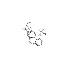 COC1(c2cccc(NS(C)(=O)=O)c2)C2CCC1CN(Cc1ccc3ccccc3c1)C2